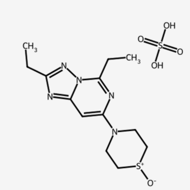 CCc1nc2cc(N3CC[S+]([O-])CC3)nc(CC)n2n1.O=S(=O)(O)O